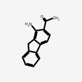 CC(=O)c1ccc2c(c1N)Cc1ccccc1-2